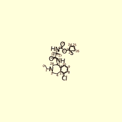 CCN1CCc2c(Cl)cccc2C(NC(=O)C(C)(C)NC(=O)Oc2cccs2)C1